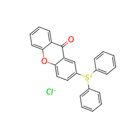 O=c1c2ccccc2oc2ccc([S+](c3ccccc3)c3ccccc3)cc12.[Cl-]